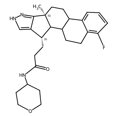 C[C@]12CCC3c4cccc(F)c4CCC3C1[C@H](CCC(=O)NC1CCOCC1)c1c[nH]nc12